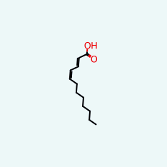 CCCCCCC/C=C\C=C\C(=O)O